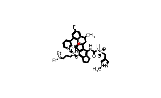 CCN(CC)CCCS(=O)(=O)NC(=O)Nc1c(-c2cccnc2)cc(F)cc1C(C)CC1CCc2cc3c(c(NC(=O)NS(=O)(=O)Cc4cnn(C)c4)c21)CCC3